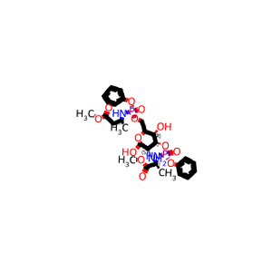 COC(=O)C[C@H](C)NP(=O)(OCC1OC(O)[C@@H](N)[C@@H](OP(=O)(N[C@@H](C)C(=O)OC)Oc2ccccc2)[C@@H]1O)Oc1ccccc1